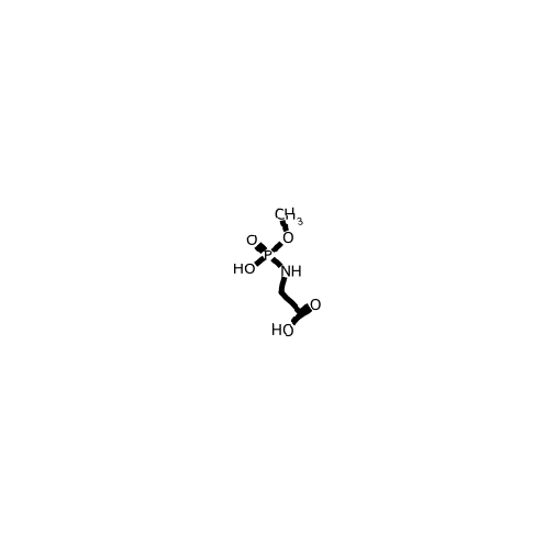 COP(=O)(O)NCC(=O)O